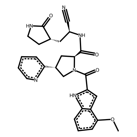 COc1cccc2[nH]c(C(=O)N3C[C@H](c4ccccn4)C[C@H]3C(=O)N[C@H](C#N)C[C@@H]3CCNC3=O)cc12